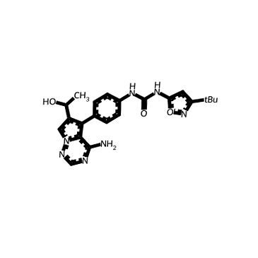 CC(O)c1cn2ncnc(N)c2c1-c1ccc(NC(=O)Nc2cc(C(C)(C)C)no2)cc1